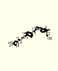 CC[C@]1(O)CN[C@@H](C(=O)NCCNC(=O)c2ccc(NC(=O)c3ncc(Cc4ccc(OCC#N)c(F)c4F)[nH]3)cc2Cl)C1